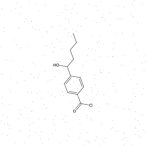 CCCCC(O)c1ccc(C(=O)Cl)cc1